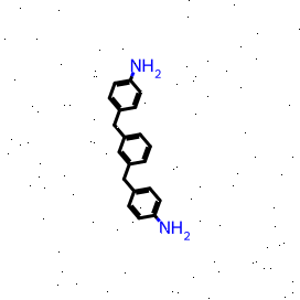 Nc1ccc(Cc2cccc(Cc3ccc(N)cc3)c2)cc1